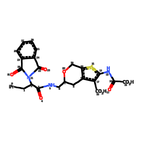 CC(C)CC(C(=O)NCC1Cc2c(sc(NC(=O)C(=O)O)c2C(=O)O)CO1)N1C(=O)c2ccccc2C1=O